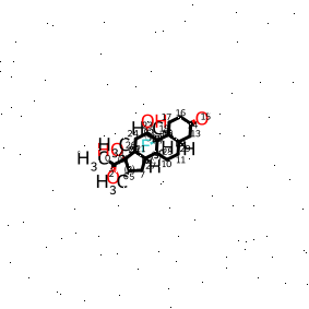 CC(=O)[C@@]1(O)[C@H](C)C[C@H]2[C@@H]3CC[C@H]4CC(=O)CC[C@]4(C)[C@@]3(F)[C@@H](O)C[C@@]21C